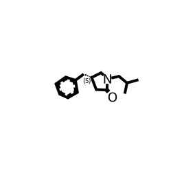 CC(C)CN1C[C@@H](Cc2ccccc2)CC1=O